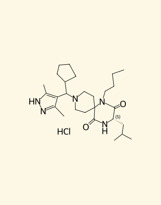 CCCCN1C(=O)[C@H](CC(C)C)NC(=O)C12CCN(C(c1c(C)n[nH]c1C)C1CCCC1)CC2.Cl